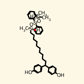 C[Si](C)(C)O[Si](O[Si](C)(C)CCCCCCCCCCC(c1ccc(O)cc1)c1ccc(O)cc1)(c1ccccc1)c1ccccc1